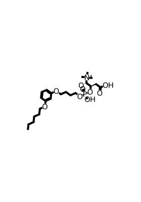 CCCCCCOc1cccc(OCCCCOP(=O)(O)O[C@H](CC(=O)O)C([O-])[N+](C)(C)C)c1